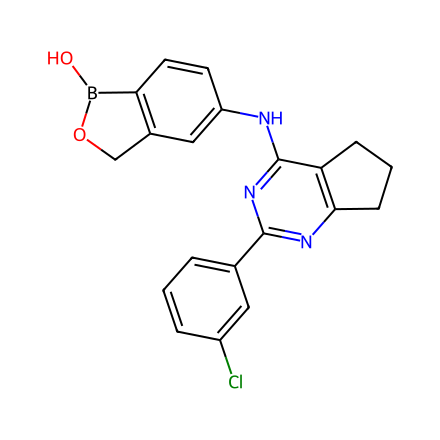 OB1OCc2cc(Nc3nc(-c4cccc(Cl)c4)nc4c3CCC4)ccc21